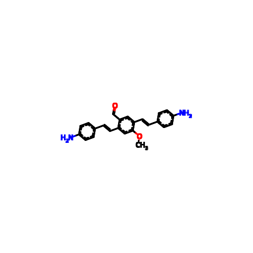 COc1cc(/C=C/c2ccc(N)cc2)c(C=O)cc1/C=C/c1ccc(N)cc1